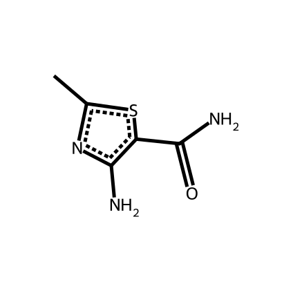 Cc1nc(N)c(C(N)=O)s1